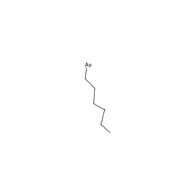 CCCCCC[As]